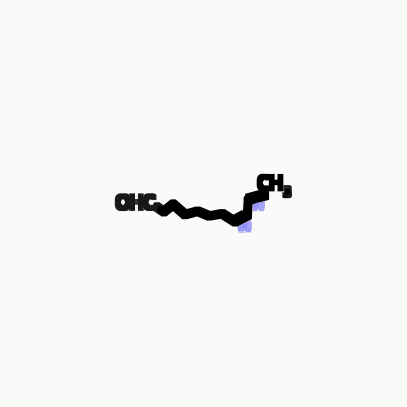 C/C=C/C=C\CCCCCCC=O